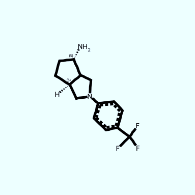 N[C@H]1CC[C@@H]2CN(c3ccc(C(F)(F)F)cc3)CC21